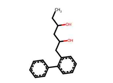 CCC(O)CC(O)Cc1ccccc1-c1ccccc1